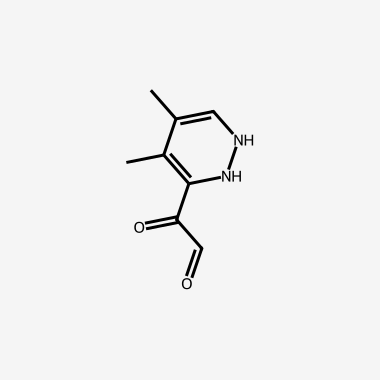 CC1=CNNC(C(=O)C=O)=C1C